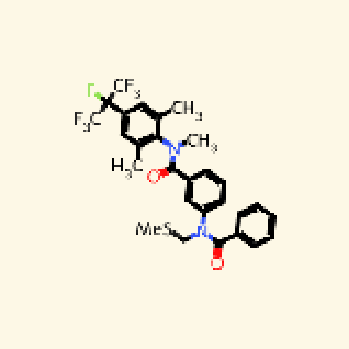 CSCN(C(=O)c1ccccc1)c1cccc(C(=O)N(C)c2c(C)cc(C(F)(C(F)(F)F)C(F)(F)F)cc2C)c1